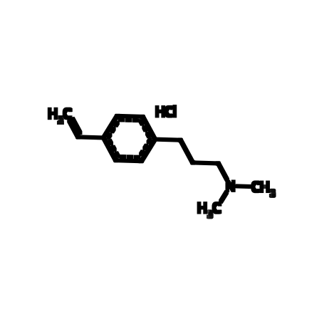 C=Cc1ccc(CCCN(C)C)cc1.Cl